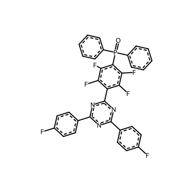 O=P(c1ccccc1)(c1ccccc1)c1c(F)c(F)c(-c2nc(-c3ccc(F)cc3)nc(-c3ccc(F)cc3)n2)c(F)c1F